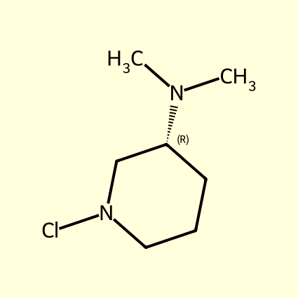 CN(C)[C@@H]1CCCN(Cl)C1